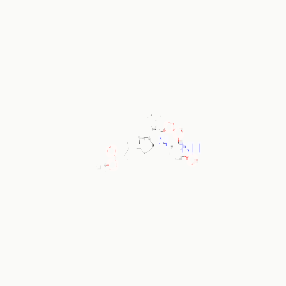 CC(C)(C)OC(=O)/C=C/c1ccc2c(c1)C1(CCC1)C(=O)N2C1CCC(=O)NC1=O